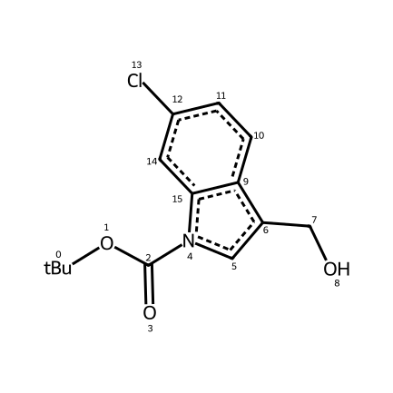 CC(C)(C)OC(=O)n1cc(CO)c2ccc(Cl)cc21